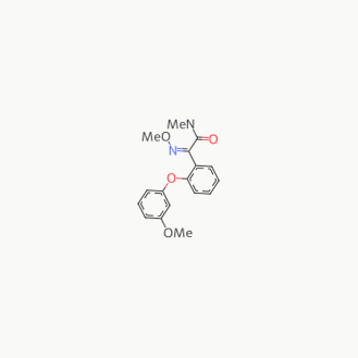 CNC(=O)/C(=N\OC)c1ccccc1Oc1cccc(OC)c1